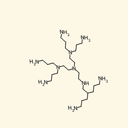 NCCCC(CCCN)CNCCN(CCN(CCCN)CCCN)CCN(CCCN)CCCN